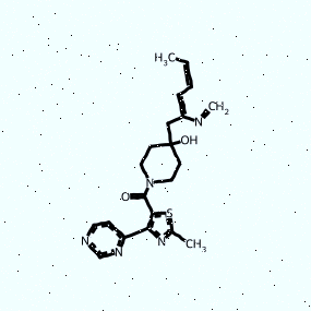 C=N/C(=C\C=C/C)CC1(O)CCN(C(=O)c2sc(C)nc2-c2ccncn2)CC1